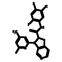 Cc1cc(C(F)(F)F)cc(N2c3cnccc3CC2C(=O)Nc2cc(Cl)c(F)cc2F)n1